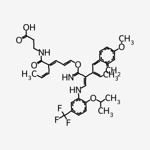 C=c1cc(OC)cc/c1=C/C(=C\C)C(=C/Nc1cc(C(F)(F)F)ccc1OC(C)C)/C(=N)O/C=C/C=C(\C=C/C)C(=O)NCCC(=O)O